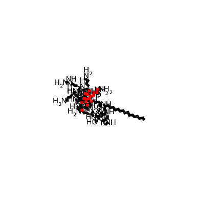 CCCCCCCCCCCCCCCCC(NC(=O)CCCC[C@@H]1SC[C@@H]2NC(=O)N[C@@H]21)C(=O)N[C@@H](Cc1cnc[nH]1)C(=O)N[C@@H](CO)C(=O)N[C@@H](CCCCN)C(=O)NCC(=O)N[C@@H](Cc1cnc[nH]1)C(=O)N[C@@H](CCC(N)=O)C(=O)N[C@@H](CCCCN)C(=O)N[C@@H](CCCNC(=N)N)C(=O)N[C@@H](CCCCN)C(=O)N[C@@H](C)C(=O)N[C@@H](CC(C)C)C(=O)N[C@@H](CCCCN)C(N)=O